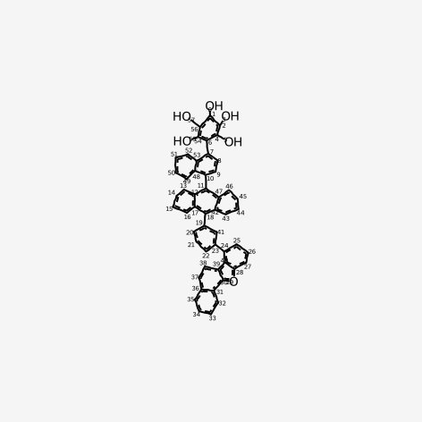 Oc1c(O)c(O)c(-c2ccc(-c3c4ccccc4c(-c4cccc(-c5cccc6oc7c8ccccc8ccc7c56)c4)c4ccccc34)c3ccccc23)c(O)c1O